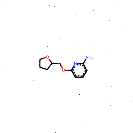 Nc1cccc(OCC2CCCO2)n1